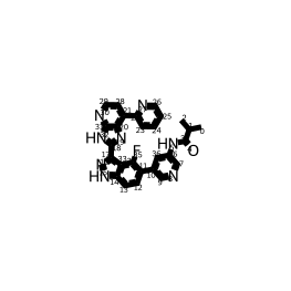 CC(C)C(=O)Nc1cncc(-c2ccc3[nH]nc(-c4nc5c(-c6ccccn6)ccnc5[nH]4)c3c2F)c1